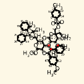 C=CC1(COS(=O)(=O)c2ccc(C)cc2)O[C@@H](O[C@@H]2C(CO[Si](c3ccccc3)(c3ccccc3)C(C)(C)C)O[C@H](OC)C(OCc3ccc(OC)cc3)[C@@H]2OCc2ccccc2)C(OC(C)=O)[C@@H](OC)[C@@H]1O